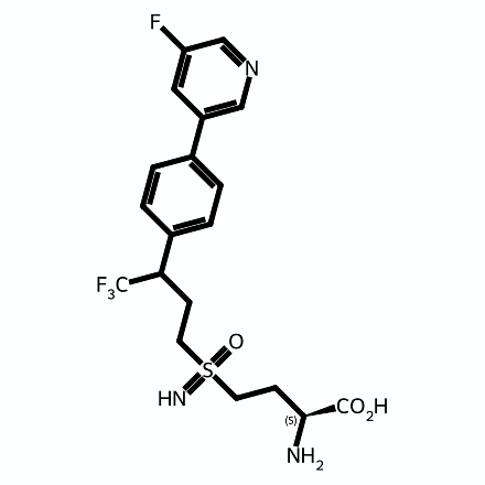 N=S(=O)(CCC(c1ccc(-c2cncc(F)c2)cc1)C(F)(F)F)CC[C@H](N)C(=O)O